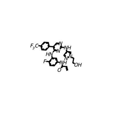 C=CC(=O)Nc1ccc(F)c(Nc2nc(Nc3cnn(CCO)c3)ncc2-c2ccc(C(F)(F)F)cc2)c1